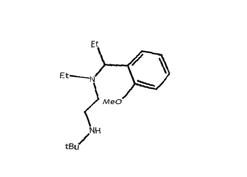 CCC(c1ccccc1OC)N(CC)CCNC(C)(C)C